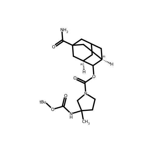 CC1(NC(=O)OC(C)(C)C)CCN(C(=O)OC2[C@@H]3CC4C[C@@H]2CC(C(N)=O)(C4)C3)C1